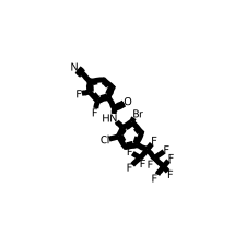 N#Cc1ccc(C(=O)Nc2c(Cl)cc(C(F)(C(F)(F)F)C(F)(F)C(F)(F)F)cc2Br)c(F)c1F